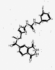 CN(Cc1csc(NC(=O)NCc2cccc(F)c2)n1)C(=O)c1ccc2c(=O)[nH][nH]c(=O)c2c1